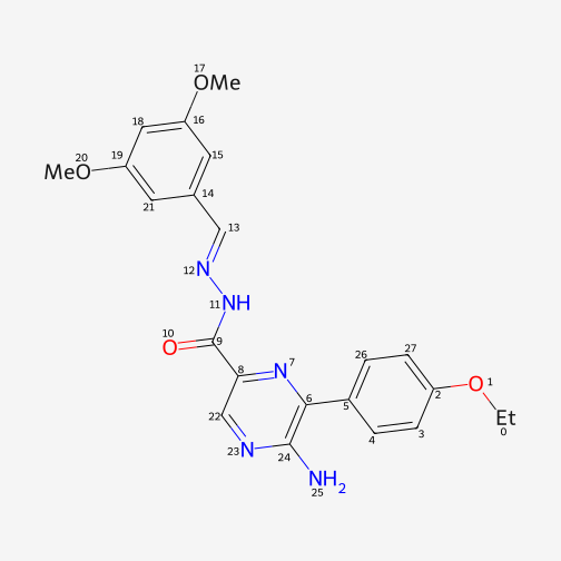 CCOc1ccc(-c2nc(C(=O)N/N=C/c3cc(OC)cc(OC)c3)cnc2N)cc1